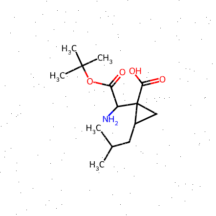 CC(C)CC1CC1(C(=O)O)C(N)C(=O)OC(C)(C)C